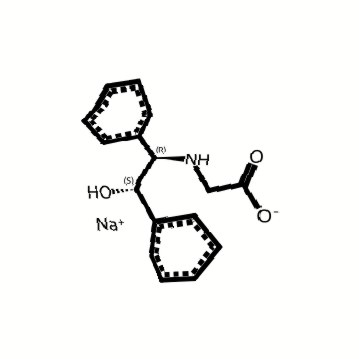 O=C([O-])CN[C@H](c1ccccc1)[C@@H](O)c1ccccc1.[Na+]